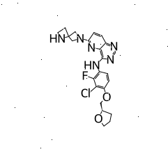 Fc1c(Nc2ncnc3ccc(N4CC5(CCN5)C4)nc23)ccc(OC[C@H]2CCCO2)c1Cl